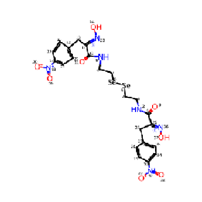 O=C(NCC[Se][Se]CCNC(=O)/C(Cc1ccc([N+](=O)[O-])cc1)=N/O)/C(Cc1ccc([N+](=O)[O-])cc1)=N/O